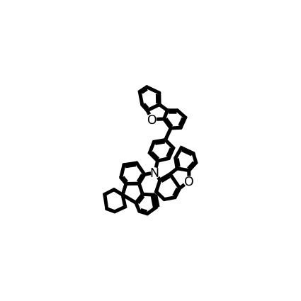 c1ccc2c(c#1)-c1c(N(C3=c4c(oc5ccccc45)=CCC3)c3ccc(-c4cccc5c4oc4ccccc45)cc3)cccc1C21CCCCC1